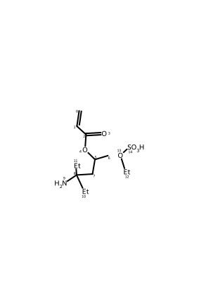 C=CC(=O)OC(C)CC(N)(CC)CC.CCOS(=O)(=O)O